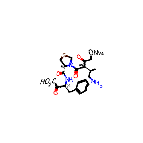 COCC(=O)[C@H](C(=O)N1CSC[C@H]1C(=O)N[C@@H](Cc1ccccc1)C(=O)C(=O)O)C(C)CN